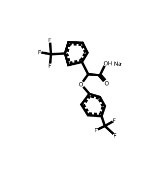 O=C(O)C(Oc1ccc(C(F)(F)F)cc1)c1cccc(C(F)(F)F)c1.[Na]